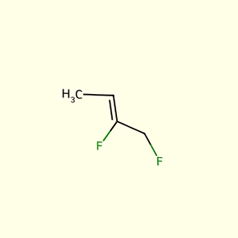 C/C=C(\F)CF